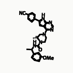 COc1cccc(C(C)NC(=O)N2CCN(c3ncnc4[nH]c(-c5ccc(C#N)cc5)cc34)C[C@H]2C)c1